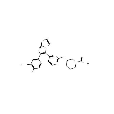 COc1cc(-c2nc3sccn3c2-c2ccnc(N[C@@H]3CCCN(C(=O)OC(C)(C)C)C3)n2)ccc1F